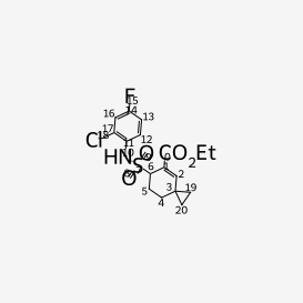 CCOC(=O)C1=CC2(CCC1S(=O)(=O)Nc1ccc(F)cc1Cl)CC2